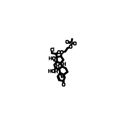 C[C@]12C=CC(=O)C=C1CC[C@@H]1[C@@H]2C(O)C[C@@]2(C)[C@H]1CC(OCCOS(C)(=O)=O)[C@]2(O)C(=O)CCl